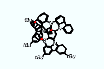 CC(C)(C)C1=Cc2c(n3c4c(cc(C(C)(C)C)cc24)B2c4c-3cc(-n3c5ccccc5c5cccc(N6c7ccccc7C7(c8ccccc8C8C=CC=CC87)c7ccccc76)c53)cc4-n3c4ccc(C(C)(C)C)cc4c4cc(C(C)(C)C)cc2c43)CC1